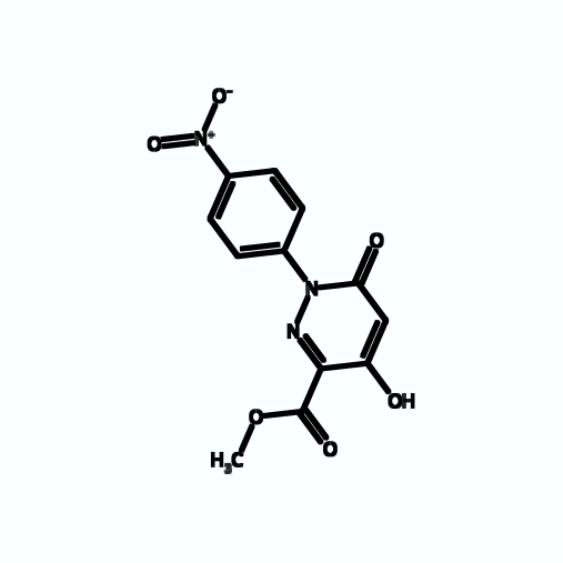 COC(=O)c1nn(-c2ccc([N+](=O)[O-])cc2)c(=O)cc1O